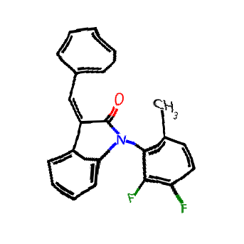 Cc1ccc(F)c(F)c1N1C(=O)C(=Cc2ccccc2)c2ccccc21